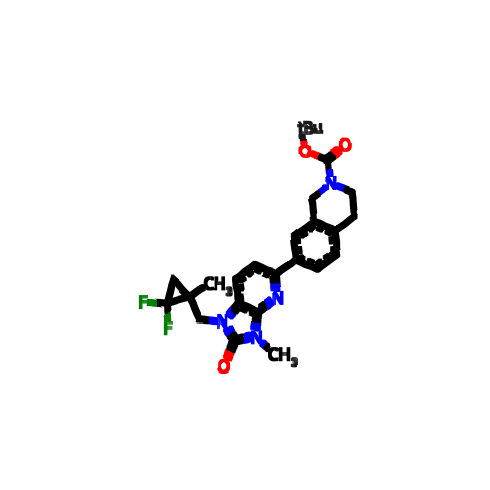 Cn1c(=O)n(CC2(C)CC2(F)F)c2ccc(-c3ccc4c(c3)CN(C(=O)OC(C)(C)C)CC4)nc21